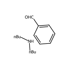 CCCCNCCCC.O=Cc1ccccc1